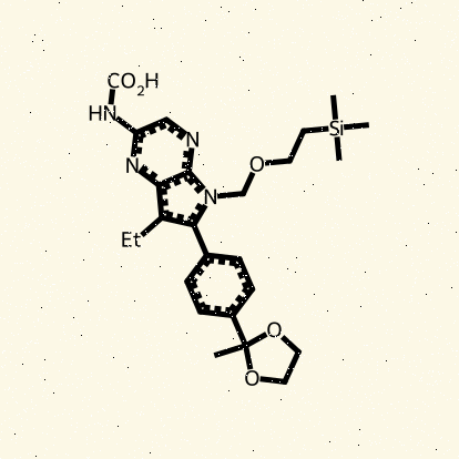 CCc1c(-c2ccc(C3(C)OCCO3)cc2)n(COCC[Si](C)(C)C)c2ncc(NC(=O)O)nc12